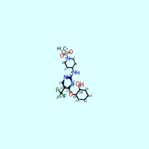 CS(=O)(=O)N1CCC(Nc2ncc(C(F)(F)F)c(OC3CCCCC3O)n2)CC1